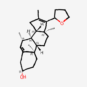 CC1=C(C2CCCO2)[C@@]2(C)CC[C@H]3[C@@H]([C@@H](C)C=C4C[C@@H](O)CC[C@@]43C)[C@@H]2C1